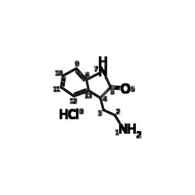 Cl.NCCC1C(=O)Nc2ccccc21